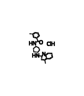 Cc1cccc(C(=O)N[C@H]2CC[C@@H](Nc3cc(C)c4ccccc4n3)CC2)c1.Cl